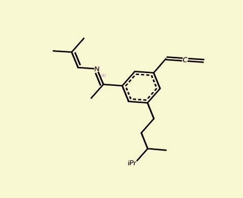 C=C=Cc1cc(CCC(C)C(C)C)cc(/C(C)=N/C=C(C)C)c1